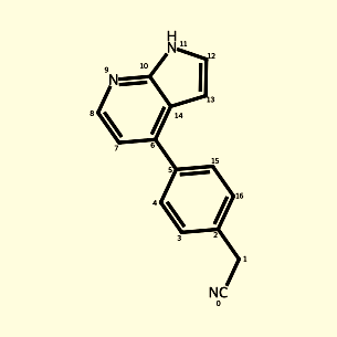 N#CCc1ccc(-c2ccnc3[nH]ccc23)cc1